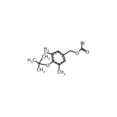 Cc1cc(COC(=O)Br)cc(C)c1OC(C)(C)C